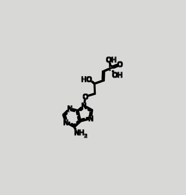 Nc1ncnc2c1ncn2OCC(O)/C=C/P(=O)(O)O